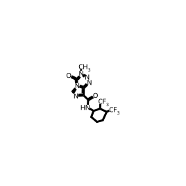 Cn1nnc2c(C(=O)NC3CCCC(C(F)(F)F)C3C(F)(F)F)ncn2c1=O